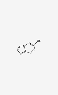 CCC(C)c1ccc2nccn2c1